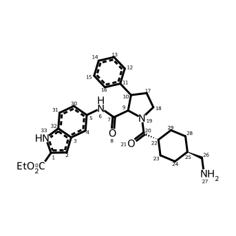 CCOC(=O)c1cc2cc(NC(=O)C3C(c4ccccc4)CCN3C(=O)[C@H]3CC[C@H](CN)CC3)ccc2[nH]1